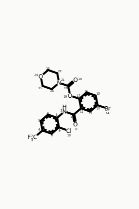 O=C(Nc1ccc(C(F)(F)F)cc1Cl)c1cc(Br)ccc1OC(=O)N1CCOCC1